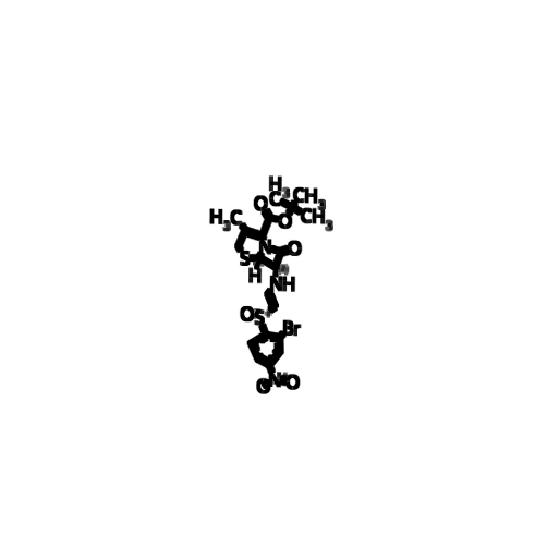 CC1=C(C(=O)OC(C)(C)C)N2C(=O)[C@@H](NC=C[S+]([O-])c3ccc([N+](=O)[O-])cc3Br)[C@@H]2SC1